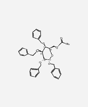 CC(C)(C)C(=O)OC[C@H]1O[C@H](OCc2ccccc2)[C@H](OCc2ccccc2)[C@@H](OCc2ccccc2)[C@H]1OCc1ccccc1